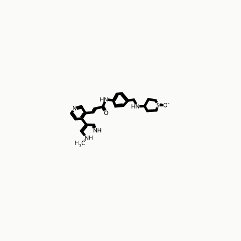 CN/C=C(\C=N)c1ccncc1/C=C/C(=O)Nc1ccc(CNC2CC[S+]([O-])CC2)cc1